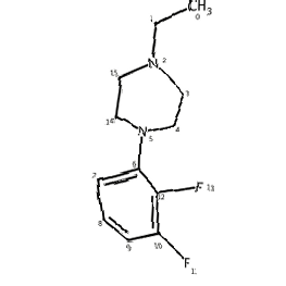 CCN1CCN(c2cccc(F)c2F)CC1